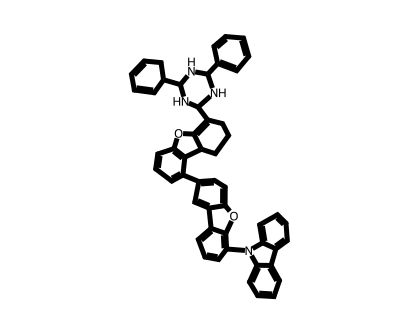 C1=CCC(C2NC(C3=C4Oc5cccc(-c6ccc7oc8c(-n9c%10ccccc%10c%10ccccc%109)cccc8c7c6)c5C4CCC3)NC(c3ccccc3)N2)C=C1